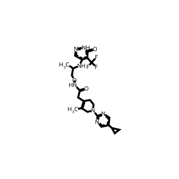 CC1=C(CC(=O)NOCC(C)Nc2cn[nH]c(=O)c2C(F)(F)F)CCN(c2ncc(C3CC3)cn2)C1